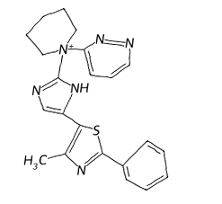 Cc1nc(-c2ccccc2)sc1-c1cnc([N+]2(c3cccnn3)CCCCC2)[nH]1